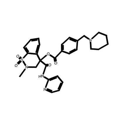 CN1CC(OC(=O)c2ccc(CN3CCCCC3)cc2)(C(=O)Nc2ccccn2)c2ccccc2S1(=O)=O